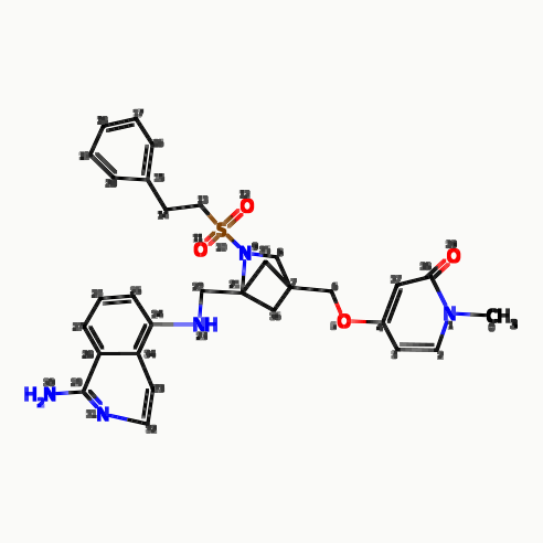 Cn1ccc(OCC23CN(S(=O)(=O)CCc4ccccc4)C(CNc4cccc5c(N)nccc45)(C2)C3)cc1=O